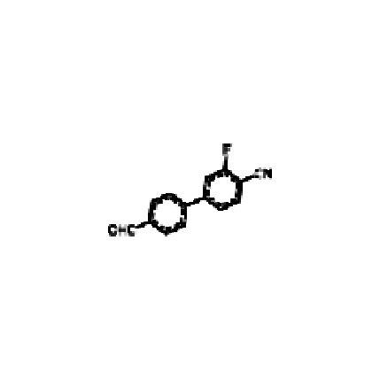 N#Cc1ccc(-c2ccc(C=O)cc2)cc1F